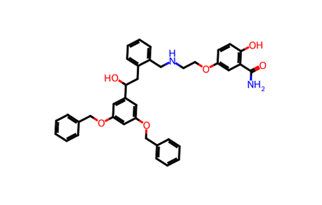 NC(=O)c1cc(OCCNCc2ccccc2CC(O)c2cc(OCc3ccccc3)cc(OCc3ccccc3)c2)ccc1O